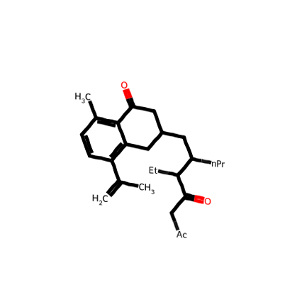 C=C(C)c1ccc(C)c2c1CC(CC(CCC)C(CC)C(=O)CC(C)=O)CC2=O